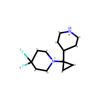 FC1(F)CCN(C2(C3CCNCC3)CC2)CC1